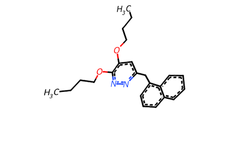 CCCCOc1cc(Cc2cccc3ccccc23)nnc1OCCCC